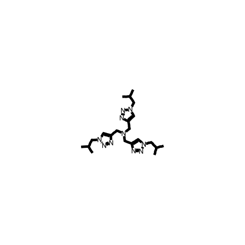 CC(C)Cn1cc(CN(Cc2cn(CC(C)C)nn2)Cc2cn(CC(C)C)nn2)nn1